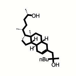 CCCCC(C)(O)CC1=CC[C@@H]2[C@H](CC[C@]3(C)[C@@H]([C@H](C)CC[C@H](C)O)CC[C@@H]23)C1